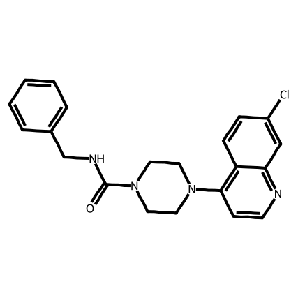 O=C(NCc1ccccc1)N1CCN(c2ccnc3cc(Cl)ccc23)CC1